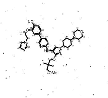 COCC(C)(C)COc1nn(C2CCC(N3CCOCC3)CC2)cc1Nc1ncc(-c2ccc(C#N)c(O[C@@H](C)Cn3cncn3)c2)cn1